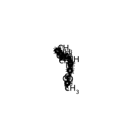 Cc1ccc(S(=O)(=O)OCC2CCN(c3ccc(Nc4ncc5c(Nc6c(C)cccc6C)nn(C)c5n4)cn3)CC2)cc1